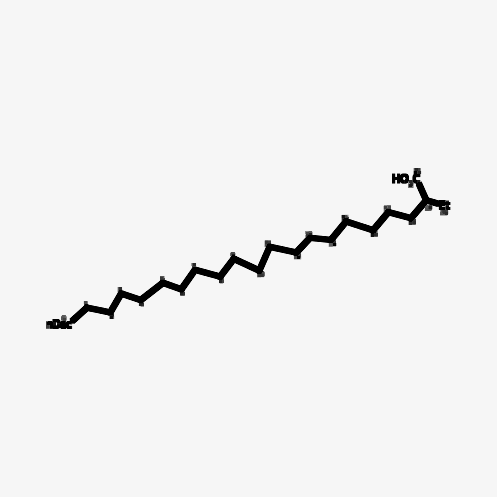 CCCCCCCCCCCCCCCCCCCCCCCCCCCCC(CC)C(=O)O